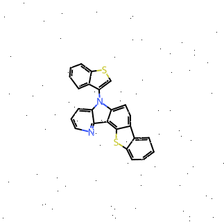 c1ccc2c(-n3c4cccnc4c4c5sc6ccccc6c5ccc43)csc2c1